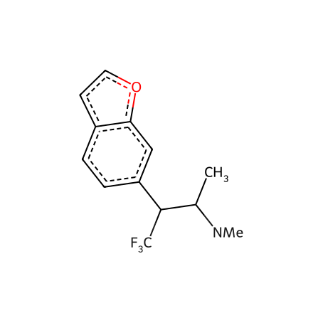 CNC(C)C(c1ccc2ccoc2c1)C(F)(F)F